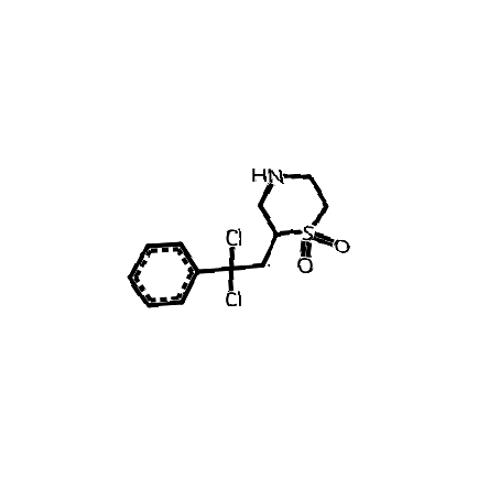 O=S1(=O)CCNCC1[CH]C(Cl)(Cl)c1ccccc1